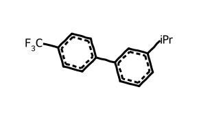 CC(C)c1cccc(-c2ccc(C(F)(F)F)cc2)c1